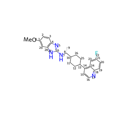 COc1ccc2nc(N[C@H](C)C3CCC(c4ccnc5ccc(F)cc45)CC3)[nH]c2c1